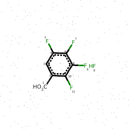 F.O=C(O)c1cc(F)c(F)c(F)c1F